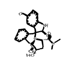 CN(C)C(=O)[C@@H]1C[C@@H](O)CN1C1(c2ccccc2OC(F)(F)F)C(=O)Nc2ccc(Cl)cc21